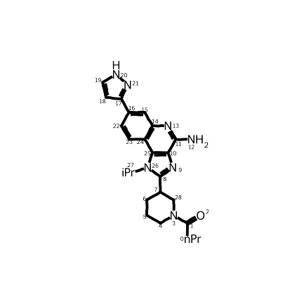 CCCC(=O)N1CCCC(c2nc3c(N)nc4cc(-c5cc[nH]n5)ccc4c3n2C(C)C)C1